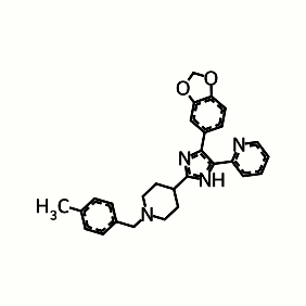 Cc1ccc(CN2CCC(c3nc(-c4ccc5c(c4)OCO5)c(-c4ccccn4)[nH]3)CC2)cc1